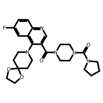 O=C(c1cnc2ccc(F)cc2c1N1CCC2(CC1)OCCO2)N1CCN(C(=O)N2CCCC2)CC1